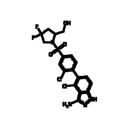 Nc1n[nH]c2ccc(-c3ccc(S(=O)(=O)N4CC(F)(F)CC4CO)cc3Cl)c(Cl)c12